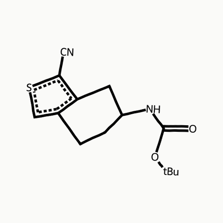 CC(C)(C)OC(=O)NC1CCc2csc(C#N)c2C1